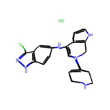 Cl.Clc1n[nH]c2ccc(NC3=CN(C4=CCNCC4)Cc4[nH]ccc43)cc12